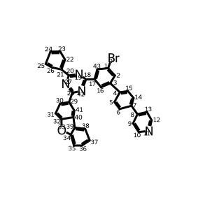 Brc1cc(-c2ccc(-c3ccncc3)cc2)cc(-c2nc(-c3ccccc3)nc(-c3ccc4oc5ccccc5c4c3)n2)c1